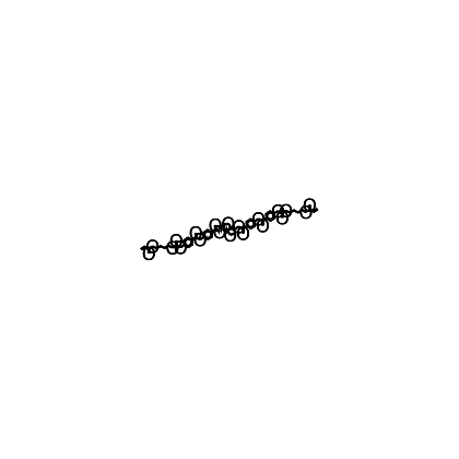 C=CC(=O)OCCCCOC(=O)Oc1ccc(C(=O)Oc2ccc(C(=O)OC3COC4C3OC[C@H]4OC(=O)c3ccc(OC(=O)c4ccc(OC(=O)OCCCCOC(=O)C=C)cc4)cc3)cc2)cc1